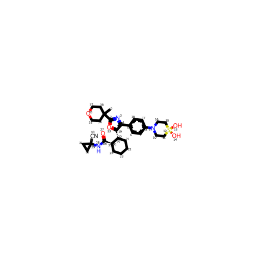 CC1(c2nc(-c3ccc(N4CCS(O)(O)CC4)cc3)c([C@@H]3CCCC[C@H]3C(=O)NC3(C#N)CC3)o2)CCOCC1